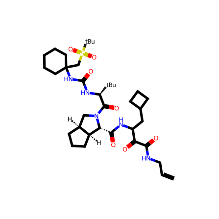 C=CCNC(=O)C(=O)C(CC1CCC1)NC(=O)[C@@H]1[C@H]2CCC[C@H]2CN1C(=O)[C@@H](NC(=O)NC1(CS(=O)(=O)C(C)(C)C)CCCCC1)C(C)(C)C